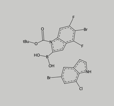 CC(C)(C)OC(=O)n1c(B(O)O)cc2c(F)c(Br)c(F)cc21.Clc1cc(Br)cc2cc[nH]c12